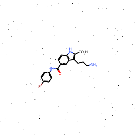 NCCCc1c(C(=O)O)[nH]c2ccc(C(=O)Nc3ccc(Br)cc3)cc12